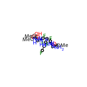 COC(=O)N[C@H](C(=O)N1CCC[C@H]1c1nc2cc(F)c([C@H]3CC[C@H](c4cc5[nH]c(C6CCCN6C(=O)[C@@H](N)[C@@H](C)OC)nc5cc4F)N3c3cc(F)c(N4CCC(c5ccc(F)cc5)CC4)c(F)c3)cc2[nH]1)[C@@H](CO)OC